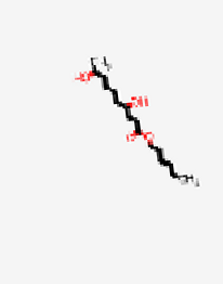 CCC=CCCOC(=O)CCC(O)CCCCC(C)O